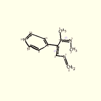 C=N/C=C(\C(C)=N/C)c1ccncc1